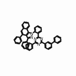 c1ccc(-c2cccc(-c3nc(-c4ccccc4)nc(-c4ccccc4-n4nc(-c5ccccc5)c5c(-c6ccccc6)cc6ccccc6c54)n3)c2)cc1